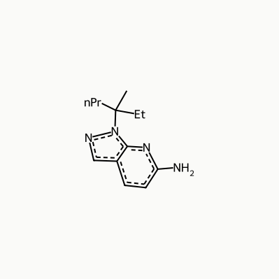 CCCC(C)(CC)n1ncc2ccc(N)nc21